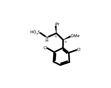 CO[C@@H](c1c(Cl)cccc1Cl)[C@@H](NS(=O)(=O)O)C(C)C